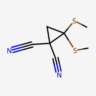 CSC1(SC)CC1(C#N)C#N